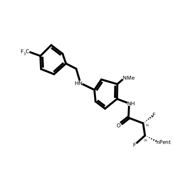 CCCCC[C@H](F)[C@@H](F)C(=O)Nc1ccc(NCc2ccc(C(F)(F)F)cc2)cc1NC